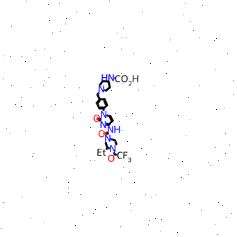 CCC1CN(C(=O)Nc2ccn(-c3ccc(CN4CCC(NC(=O)O)CC4)cc3)c(=O)n2)CCN1C(=O)C(F)(F)F